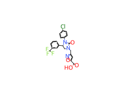 O=C(O)c1cc(CN2CC(c3cccc(C(F)(F)F)c3)N(c3ccc(Cl)cc3)C2=O)no1